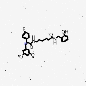 COc1cc(/C=C(\C(=O)NCCCCCC(=O)NCc2ccccc2O)c2ccc(F)cc2)cc(OC)c1